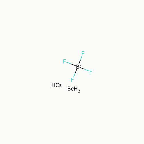 F[B-](F)(F)F.[BeH2].[CsH]